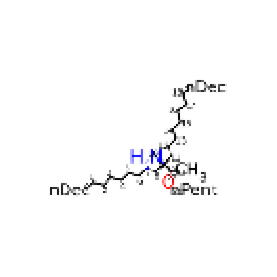 CCCCCCCCCCCCCCCCCCC(N)(CCCCCCCCCCCCCCCCCC)C(C)OCCCCC